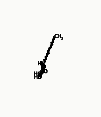 CCCCCCCCCCCCCCCCCCCNc1ccc(C(=O)OCC(O)CO)cc1